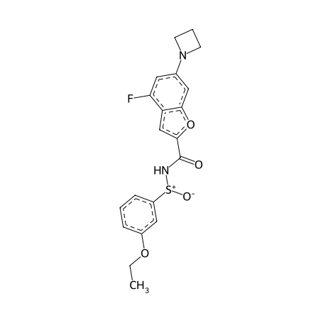 CCOc1cccc([S+]([O-])NC(=O)c2cc3c(F)cc(N4CCC4)cc3o2)c1